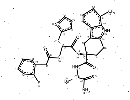 CCC(C)[C@H](NC(=O)[C@@]1(NC(=O)[C@@H](Cc2cccs2)NC(=O)Cc2ccccc2F)CCc2[nH]c3c(C(F)(F)F)cccc3c2C1)C(N)=S